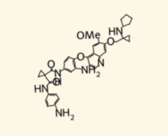 COc1cc2c(Oc3ccc(NC(=O)C4(C(=O)Nc5ccc(N)cc5)CC4)cc3N)ccnc2cc1OCC1(NC2CCCC2)CC1